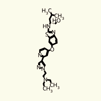 CCN(CC)CCn1cc(-c2cc(Oc3ccc4nc(N[C@@H](CO)CC(C)C)sc4c3)ccn2)cn1